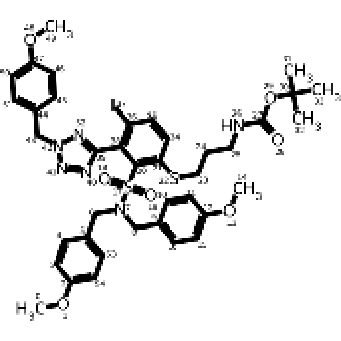 COc1ccc(CN(Cc2ccc(OC)cc2)S(=O)(=O)c2c(SCCCNC(=O)OC(C)(C)C)ccc(I)c2-c2nnn(Cc3ccc(OC)cc3)n2)cc1